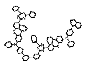 c1ccc(-c2nc(-c3ccccc3)nc(-c3ccc4c5c(cccc35)-c3ccc(N(c5ccccc5)c5ccc(-c6cccc(-c7cccc(-c8nc(-c9ccccc9)nc(-c9ccc%10c%11c(cccc9%11)-c9ccc(N(c%11ccccc%11)c%11ccc(-c%12cccc%13ccccc%12%13)cc%11)cc9S%10)n8)c7)c6)cc5)cc3S4)n2)cc1